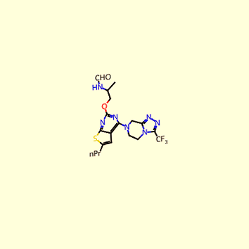 CCCc1cc2c(N3CCn4c(nnc4C(F)(F)F)C3)nc(OCC(C)NC=O)nc2s1